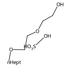 CCCCCCCOCCOCCO.O=S(=O)(O)O